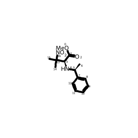 COC(=O)[C@@H](N[C@@H](C)c1ccccc1)C(C)(C)[N+](=O)[O-]